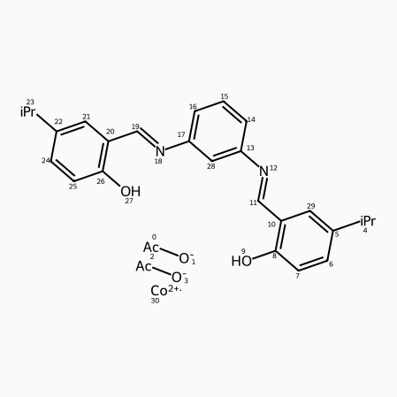 CC(=O)[O-].CC(=O)[O-].CC(C)c1ccc(O)c(C=Nc2cccc(N=Cc3cc(C(C)C)ccc3O)c2)c1.[Co+2]